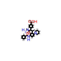 CC(c1cc(NC(=O)c2ccccc2)ccc1N1CCCCC1)C(C(N)=O)c1ccc(C(=O)O)cc1